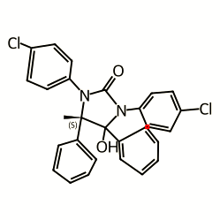 C[C@@]1(c2ccccc2)N(c2ccc(Cl)cc2)C(=O)N(c2ccc(Cl)cc2)C1(O)c1ccccc1